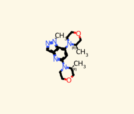 C[C@@H]1COCCN1c1cc(N2CCOC[C@H]2C)c2c(cnn2C)n1